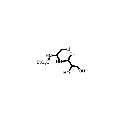 CCOC(=O)NC(CCl)NC(O)C(O)CO